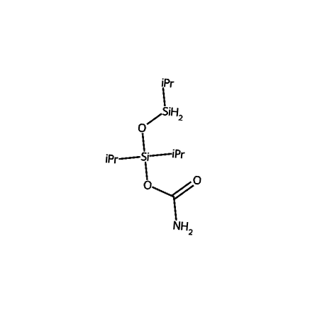 CC(C)[SiH2]O[Si](OC(N)=O)(C(C)C)C(C)C